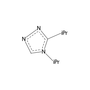 CC(C)c1nncn1C(C)C